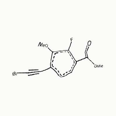 COC(=O)c1ccc(C#CC(C)(C)C)c(OC)c1F